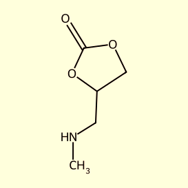 CNCC1COC(=O)O1